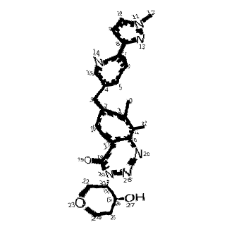 Cc1c(Cc2ccc(-c3ccn(C)n3)nc2)cc2c(=O)n([C@H]3COCC[C@@H]3O)nnc2c1C